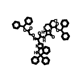 O=C(CO/N=C(\C(=O)NC1C(=O)N2C(C(=O)OC(c3ccccc3)c3ccccc3)=C(CCl)CS[C@@H]12)c1csc(NC(c2ccccc2)(c2ccccc2)c2ccccc2)n1)OC(c1ccccc1)c1ccccc1